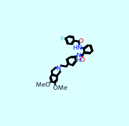 COc1cc2c(cc1OC)CN(CCc1ccc(NC(=O)c3ccccc3NC(=O)c3ccc(F)cc3)cc1)CC2